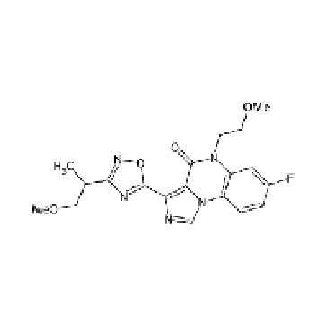 COCCn1c(=O)c2c(-c3nc(C(C)COC)no3)ncn2c2ccc(F)cc21